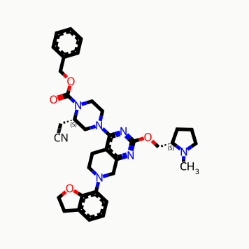 CN1CCC[C@H]1COc1nc2c(c(N3CCN(C(=O)OCc4ccccc4)[C@@H](CC#N)C3)n1)CCN(c1cccc3c1OCC3)C2